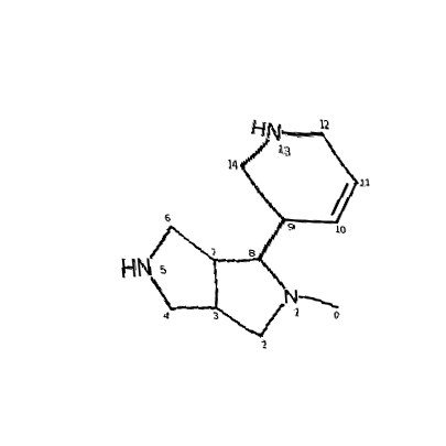 CN1CC2CNCC2C1C1C=CCNC1